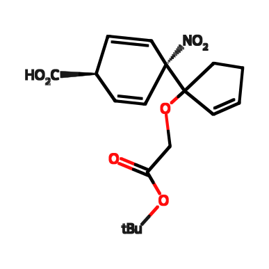 CC(C)(C)OC(=O)COC1([C@]2([N+](=O)[O-])C=C[C@H](C(=O)O)C=C2)C=CCC1